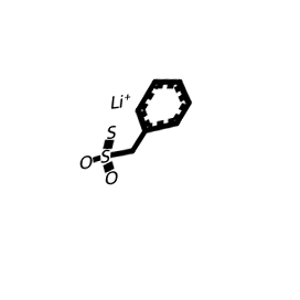 O=S([O-])(=S)Cc1ccccc1.[Li+]